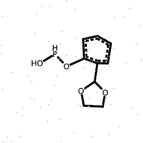 OPOc1ccccc1C1OCCO1